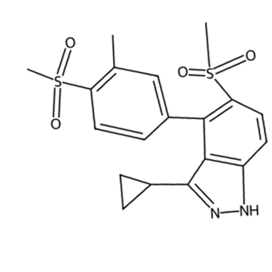 Cc1cc(-c2c(S(C)(=O)=O)ccc3[nH]nc(C4CC4)c23)ccc1S(C)(=O)=O